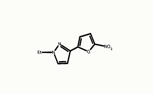 CCn1ccc(-c2ccc([N+](=O)[O-])o2)n1